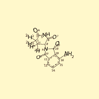 [2H]C1([2H])C(=O)NC(=O)C(N2C(=O)c3cccc(N)c3C2=O)C1([2H])[2H]